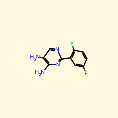 Nc1cnc(-c2cc(F)ccc2F)nc1N